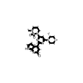 C[C@@H]1COCCN1c1cc(N2CC=CN(C)S2(=O)=O)nc(-c2cc(Cl)nc3[nH]ccc23)n1